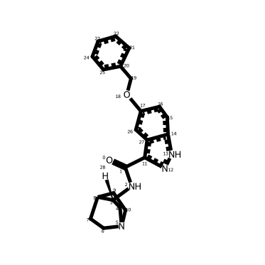 O=C(N[C@@H]1CN2CCC1CC2)c1n[nH]c2ccc(OCc3ccccc3)cc12